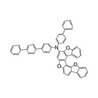 c1ccc(-c2ccc(-c3ccc(N(c4ccc(-c5ccccc5)cc4)c4cc5oc6ccc7c8ccccc8oc7c6c5c5c4oc4ccccc45)cc3)cc2)cc1